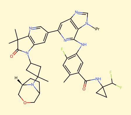 Cc1cc(F)c(Nc2nc(-c3cnc4c(c3)N(C3CC(C)(N5C6CC[C@H]5COC6)C3)C(=O)C4(C)C)cc3ncn(C(C)C)c23)cc1C(=O)NC1(C(F)F)CC1